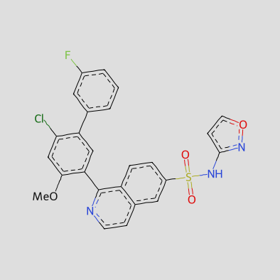 COc1cc(Cl)c(-c2cccc(F)c2)cc1-c1nccc2cc(S(=O)(=O)Nc3ccon3)ccc12